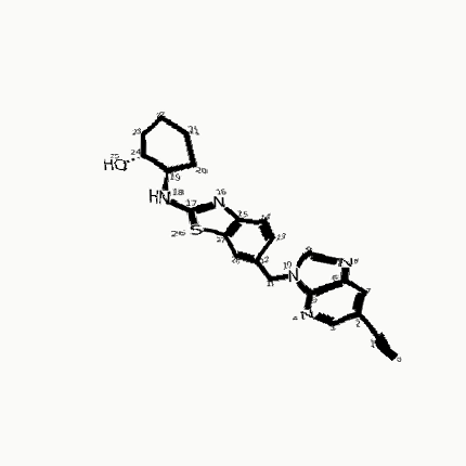 C#Cc1cnc2c(c1)ncn2Cc1ccc2nc(N[C@@H]3CCCC[C@H]3O)sc2c1